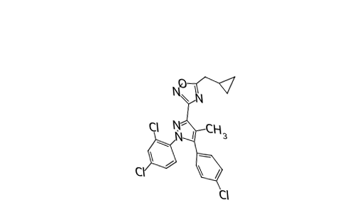 Cc1c(-c2noc(CC3CC3)n2)nn(-c2ccc(Cl)cc2Cl)c1-c1ccc(Cl)cc1